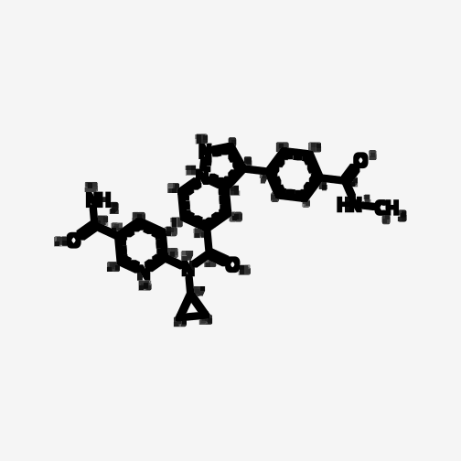 CNC(=O)c1ccc(-c2cnn3ccc(C(=O)N(c4ccc(C(N)=O)cn4)C4CC4)cc23)cc1